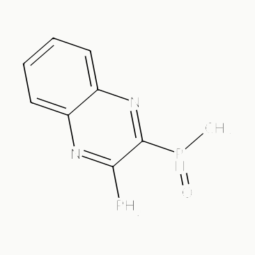 C[PH](=O)c1nc2ccccc2nc1P